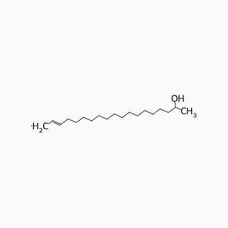 [CH2]C=CCCCCCCCCCCCCCCC(C)O